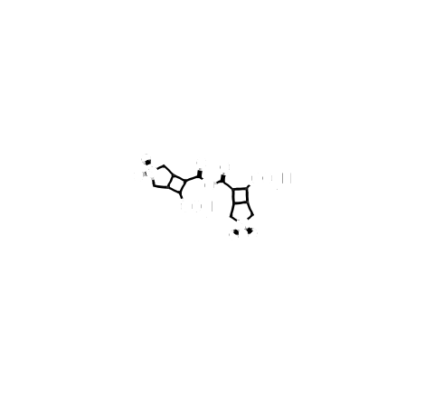 O=C(O)C1C2CS(=O)(=O)CC2C1C(=O)OC(=O)C1C2CS(=O)(=O)CC2C1C(=O)O